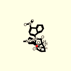 Cn1cnc(S(=O)(=O)N2C3C[C@@H]2[C@H]2C(=O)N(c4ccc([N+](=O)[O-])c5ccccc45)C(=O)N2C3)c1